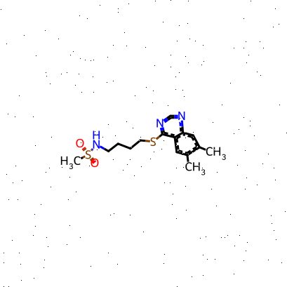 Cc1cc2ncnc(SCCCCNS(C)(=O)=O)c2cc1C